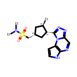 CC[C@@H]1C[C@@H](CS(=O)(=O)N(CC)CC)C[C@H]1c1nnc2cnc3[nH]ccc3n12